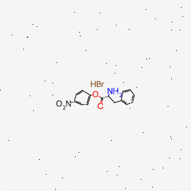 Br.N[C@@H](Cc1ccccc1)C(=O)Oc1ccc([N+](=O)[O-])cc1